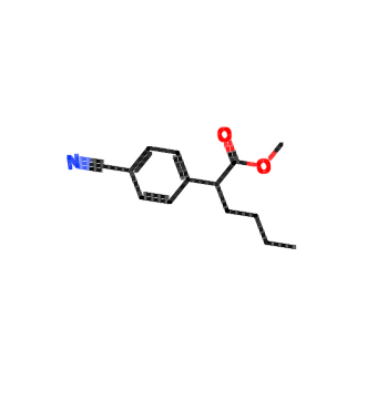 CCCCC(C(=O)OC)c1ccc(C#N)cc1